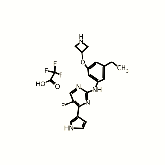 CCc1cc(Nc2ncc(F)c(-c3cc[nH]c3)n2)cc(OC2CNC2)c1.O=C(O)C(F)(F)F